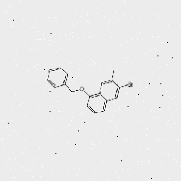 Cc1cc2c(OCc3ccccc3)cccc2cc1Br